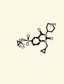 CC1(NS(=O)(=O)c2ccc3c(c2)c(=O)n(C2CCNCC2)c(=O)n3CC2CC2)CC1